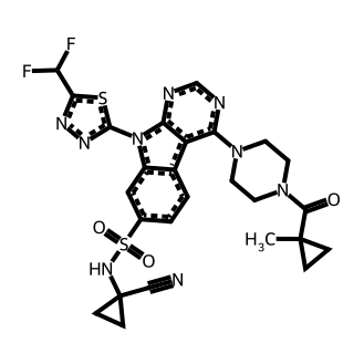 CC1(C(=O)N2CCN(c3ncnc4c3c3ccc(S(=O)(=O)NC5(C#N)CC5)cc3n4-c3nnc(C(F)F)s3)CC2)CC1